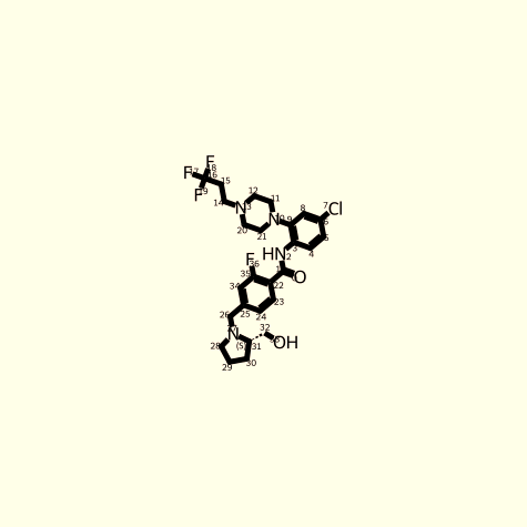 O=C(Nc1ccc(Cl)cc1N1CCN(CCC(F)(F)F)CC1)c1ccc(CN2CCC[C@H]2CO)cc1F